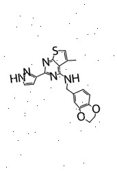 Cc1csc2nc(-c3cc[nH]n3)nc(NCc3ccc4c(c3)OCCO4)c12